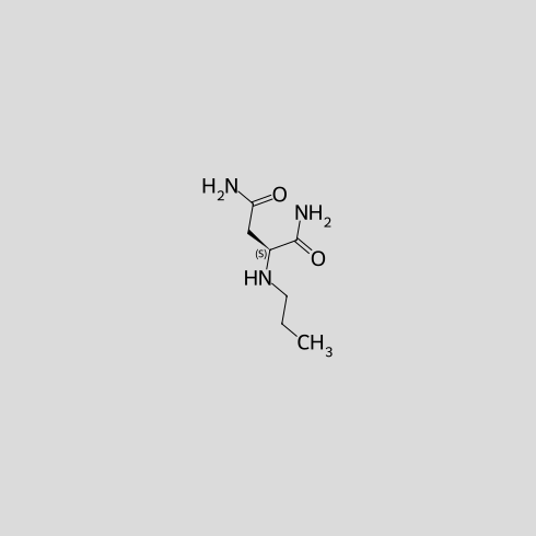 CCCN[C@@H](CC(N)=O)C(N)=O